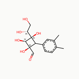 Cc1ccc(C2[C@@](O)([C@H](O)CO)[C@H](O)[C@@]2(O)C=O)cc1C